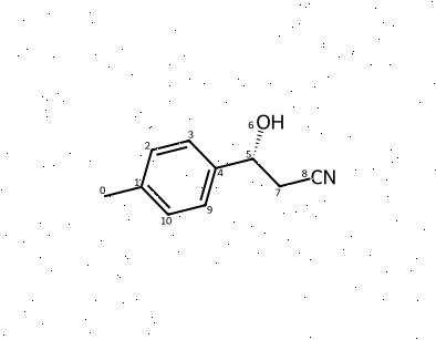 Cc1ccc([C@H](O)CC#N)cc1